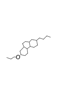 CCCCC1CCC2C(CCC3CC(OCCC)CCC32)C1